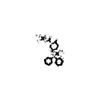 CC(C)(C)OC(=O)N1CC(O[Si](c2ccccc2)(c2ccccc2)C(C)(C)C)CCC1=O